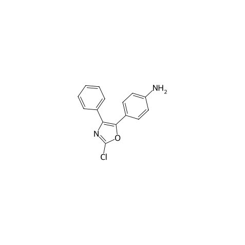 Nc1ccc(-c2oc(Cl)nc2-c2ccccc2)cc1